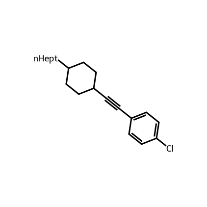 CCCCCCCC1CCC(C#Cc2ccc(Cl)cc2)CC1